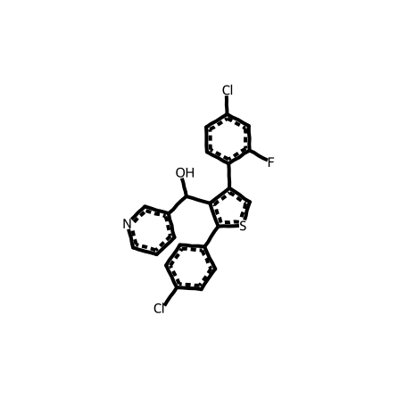 OC(c1cccnc1)c1c(-c2ccc(Cl)cc2F)csc1-c1ccc(Cl)cc1